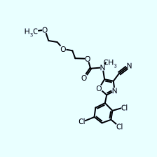 COCCOCCOC(=O)N(C)c1oc(-c2cc(Cl)cc(Cl)c2Cl)nc1C#N